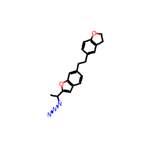 CC(N=[N+]=[N-])c1cc2ccc(CCc3ccc4c(c3)CCO4)cc2o1